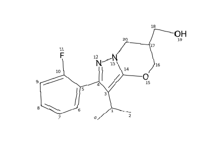 CC(C)c1c(-c2ccccc2F)nn2c1OCC(CO)C2